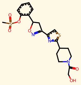 CS(=O)(=O)Oc1ccccc1C1CC(c2csc(C3CCN(C(=O)CO)CC3)n2)=NO1